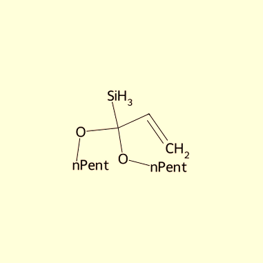 C=CC([SiH3])(OCCCCC)OCCCCC